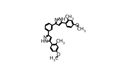 COc1ccc(-c2cc(-c3cccc(-c4cc(-c5ccc(OC)cc5C)[nH]n4)c3)n[nH]2)c(C)c1